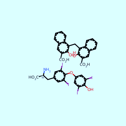 N[C@@H](Cc1cc(I)c(Oc2cc(I)c(O)c(I)c2)c(I)c1)C(=O)O.O=C(O)c1cc2ccccc2c(Cc2c(O)c(C(=O)O)cc3ccccc23)c1O